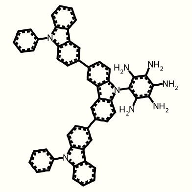 Nc1c(N)c(N)c(-n2c3ccc(-c4ccc5c(c4)c4ccccc4n5-c4ccccc4)cc3c3cc(-c4ccc5c(c4)c4ccccc4n5-c4ccccc4)ccc32)c(N)c1N